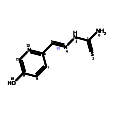 NC(=S)N/N=C/c1ccc(O)cn1